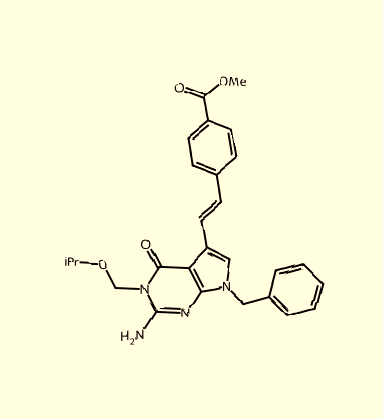 COC(=O)c1ccc(C=Cc2cn(Cc3ccccc3)c3nc(N)n(COC(C)C)c(=O)c23)cc1